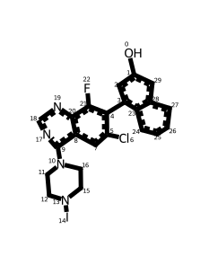 Oc1cc(-c2c(Cl)cc3c(N4CCN(I)CC4)ncnc3c2F)c2ccccc2c1